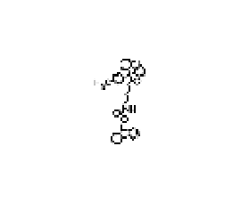 Cc1ccc(C(C(=O)CCCCCNC(=O)OCC2c3ccccc3-c3ccccc32)(c2ccccc2)c2ccccc2Cl)cc1